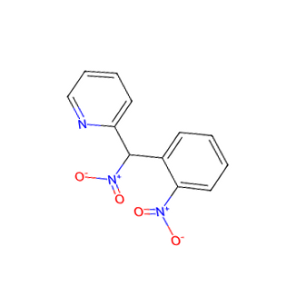 O=[N+]([O-])c1ccccc1C(c1ccccn1)[N+](=O)[O-]